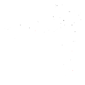 C=CC(=O)OCCOc1ccc2cc(C3(c4ccc5cc(OCCOC(=O)C=C)ccc5c4)c4ccccc4-c4ccccc43)ccc2c1